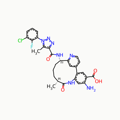 Cc1c(C(=O)N[C@H]2CCC[C@@H](C)C(=O)Nc3cc(N)c(C(=O)O)cc3-c3ccnc2c3)nnn1-c1cccc(Cl)c1F